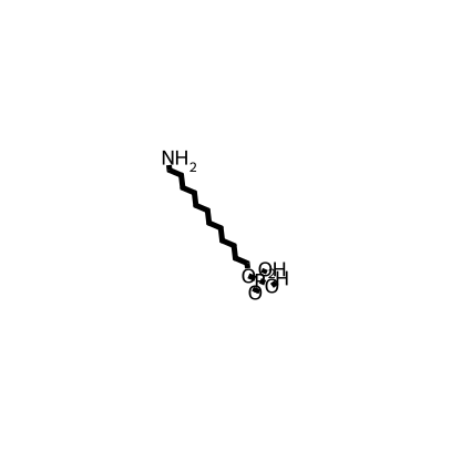 [2H]OP(=O)(O)OCCCCCCCCCCCCN